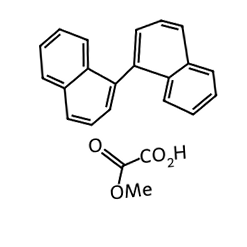 COC(=O)C(=O)O.c1ccc2c(-c3cccc4ccccc34)cccc2c1